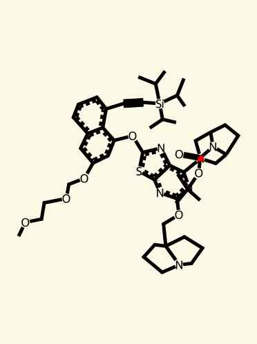 COCCOCOc1cc(Oc2nc3c(N4CC5CCC(C4)N5C(=O)OC(C)(C)C)nc(OCC45CCCN4CCC5)nc3s2)c2c(C#C[Si](C(C)C)(C(C)C)C(C)C)cccc2c1